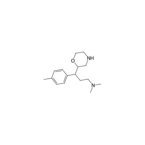 Cc1ccc(C(CCN(C)C)C2CNCCO2)cc1